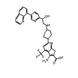 Nc1c(C(=O)O)sc2nc(N3CCC(NCC(O)c4ccc(-c5cccc6cccnc56)cn4)CC3)cc(C(F)(F)F)c12